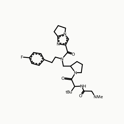 CNCC(=O)NC(C(=O)N1CCCC1CN(CCc1ccc(F)cc1)C(=O)c1cn2c(n1)CCC2)C(C)(C)C